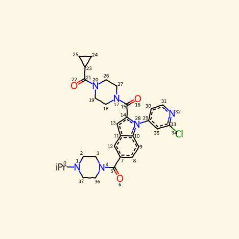 CC(C)N1CCN(C(=O)c2ccc3c(c2)cc(C(=O)N2CCN(C(=O)C4CC4)CC2)n3-c2ccnc(Cl)c2)CC1